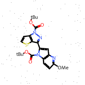 COc1ccc2c(cc(-c3nn(C(=O)OC(C)(C)C)c4ccsc34)n2C(=O)OC(C)(C)C)n1